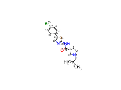 C[C](C)CN1CC[C@H](C(=O)Nc2ncc(-c3ccc(Br)cc3)s2)C1